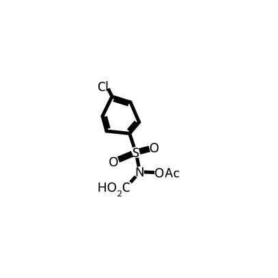 CC(=O)ON(C(=O)O)S(=O)(=O)c1ccc(Cl)cc1